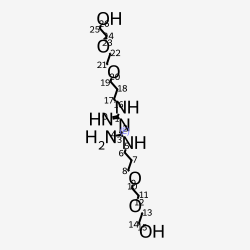 N=C(/N=C(\N)NCCCOCCOCCO)NCCCOCCOCCO